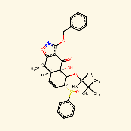 C[C@@H]1c2onc(OCc3ccccc3)c2C(=O)[C@@]2(O)C(O[Si](C)(C)C(C)(C)C)[C@H]([S+]([O-])c3ccccc3)C=C[C@@H]12